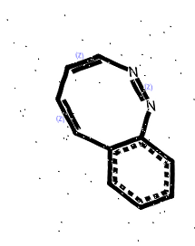 C1=C\N=N/c2ccccc2\C=C/1